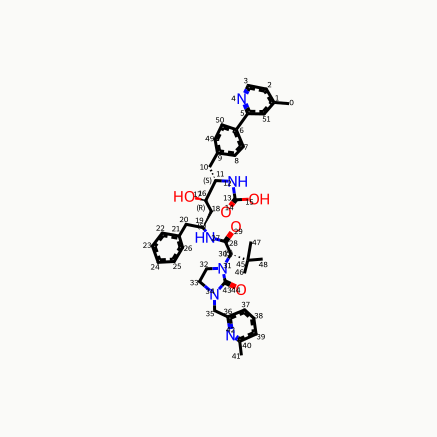 Cc1ccnc(-c2ccc(C[C@H](NC(=O)O)[C@H](O)C[C@H](Cc3ccccc3)NC(=O)[C@@H](N3CCN(Cc4cccc(C)n4)C3=O)C(C)(C)C)cc2)c1